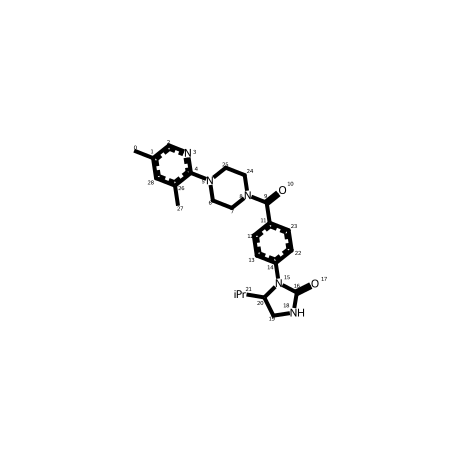 Cc1cnc(N2CCN(C(=O)c3ccc(N4C(=O)NCC4C(C)C)cc3)CC2)c(C)c1